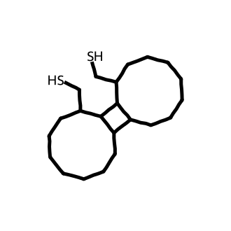 SCC1CCCCCCCC2C3CCCCCCCC(CS)C3C12